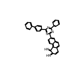 N=C1C=Cc2ccc3cc(-c4nc(-c5ccccc5)nc(-c5ccc(-c6ccccc6)cc5)n4)ccc3c2C1=N